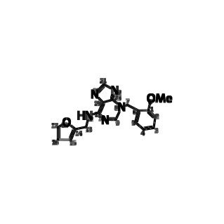 COc1ccccc1Cn1cnc(NCc2ccco2)c2ncnc1-2